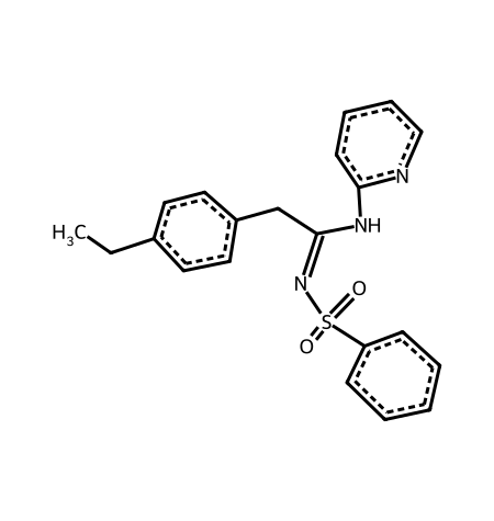 CCc1ccc(CC(=NS(=O)(=O)c2ccccc2)Nc2ccccn2)cc1